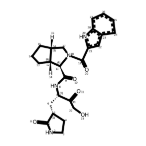 O=C1NCC[C@H]1C[C@H](NC(=O)[C@H]1[C@@H]2CCC[C@@H]2CN1C(=O)c1cc2ccccc2[nH]1)C(=O)CO